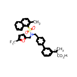 Cc1ccc2ccccc2c1S(=O)(=O)N(Cc1ccc(-c2cccc([C@H](C)C(=O)O)c2)cc1)Cc1ccc(C(F)(F)F)o1